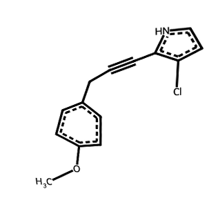 COc1ccc(CC#Cc2[nH]ccc2Cl)cc1